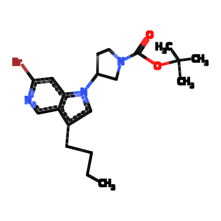 CCCCc1cn(C2CCN(C(=O)OC(C)(C)C)C2)c2cc(Br)ncc12